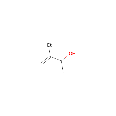 C=C(CC)C(C)O